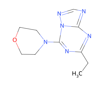 CCc1nc(N2CCOCC2)n2ncnc2n1